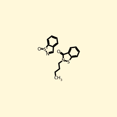 CCCCn1sc2ccccc2c1=O.[O-][s+]1ncc2ccccc21